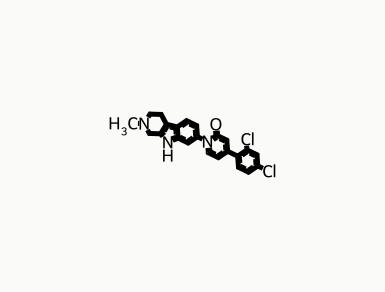 CN1CCc2c([nH]c3cc(-n4ccc(-c5ccc(Cl)cc5Cl)cc4=O)ccc23)C1